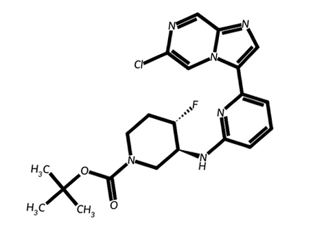 CC(C)(C)OC(=O)N1CC[C@H](F)[C@@H](Nc2cccc(-c3cnc4cnc(Cl)cn34)n2)C1